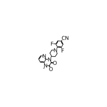 Cn1c(=O)c(=O)n(C2CCN(c3c(F)cc(C#N)cc3F)CC2)c2ncccc21